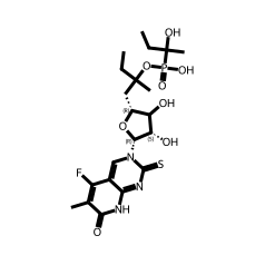 CCC(C)(C[C@H]1O[C@@H](n2cc3c(F)c(C)c(=O)[nH]c3nc2=S)[C@@H](O)C1O)OP(=O)(O)C(C)(O)CC